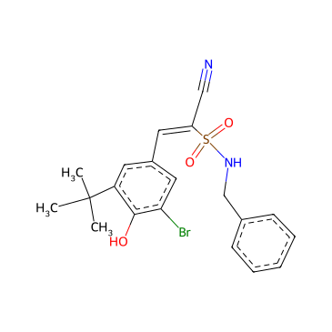 CC(C)(C)c1cc(/C=C(/C#N)S(=O)(=O)NCc2ccccc2)cc(Br)c1O